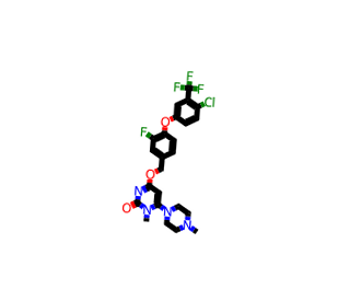 CN1CCN(c2cc(OCc3ccc(Oc4ccc(Cl)c(C(F)(F)F)c4)c(F)c3)nc(=O)n2C)CC1